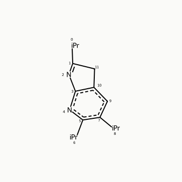 CC(C)C1=Nc2nc(C(C)C)c(C(C)C)cc2C1